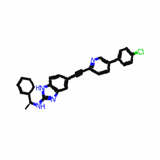 C[C@H](Nc1nc2cc(C#Cc3ccc(-c4ccc(Cl)cc4)cn3)ccc2[nH]1)C1CCCCC1